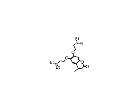 CCN(CC)CCOc1cc2oc(=O)cc(C)c2cc1OCCN(CC)CC